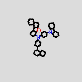 c1ccc2c(-c3ccc(N(c4ccc(-n5c6ccccc6c6ccccc65)cc4)c4cccc5c4oc4ccc6ccccc6c45)cc3)cccc2c1